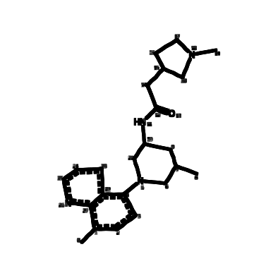 Cc1ccc(N2CC(C)CC(NC(=O)CC3CCN(C)C3)C2)c2cccnc12